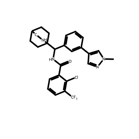 Cn1cc(-c2cccc(C(NC(=O)c3cccc(C(F)(F)F)c3Cl)C34CCC(CC3)CN4)c2)cn1